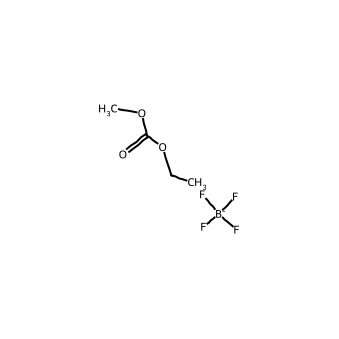 CCOC(=O)OC.F[B-](F)(F)F